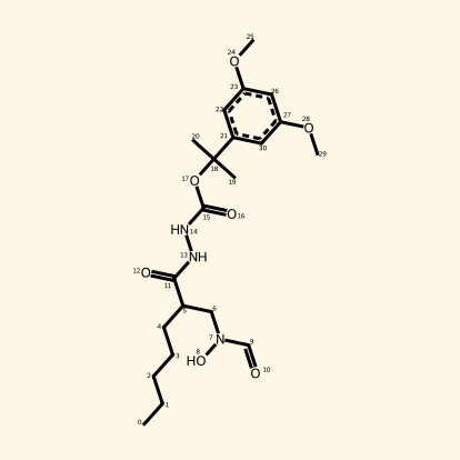 CCCCCC(CN(O)C=O)C(=O)NNC(=O)OC(C)(C)c1cc(OC)cc(OC)c1